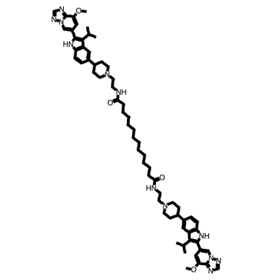 COc1cc(-c2[nH]c3ccc(C4CCN(CCNC(=O)CCCCCCCCCCCCC(=O)NCCN5CCC(c6ccc7[nH]c(-c8cc(OC)c9ncnn9c8)c(C(C)C)c7c6)CC5)CC4)cc3c2C(C)C)cn2ncnc12